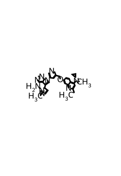 CCc1cc(N(C)C2CC2)c2ccc(OCc3cncc(-n4cc(-c5ccn(C)n5)c5c(N)ncnc54)c3)cc2n1